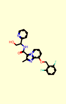 Cc1nc2c(OCc3c(F)cccc3F)cccn2c1C(=O)NC(CO)c1ccccn1